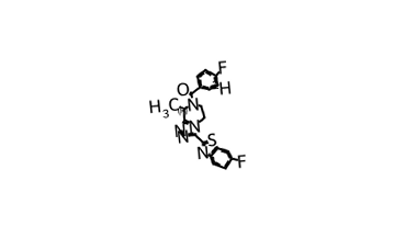 [2H]c1cc(C(=O)N2CCn3c(-c4nc5ccc(F)cc5s4)nnc3[C@H]2C)ccc1F